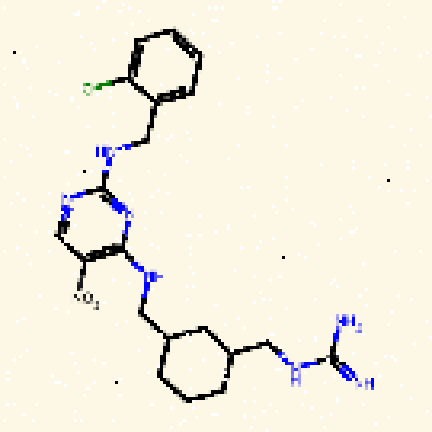 N=C(N)NCC1CCCC(CNc2nc(NCc3ccccc3Cl)ncc2[N+](=O)[O-])C1